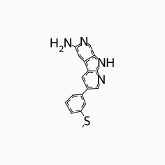 CSc1cccc(-c2cnc3[nH]c4cnc(N)cc4c3c2)c1